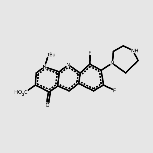 CC(C)(C)n1cc(C(=O)O)c(=O)c2cc3cc(F)c(N4CCNCC4)c(F)c3nc21